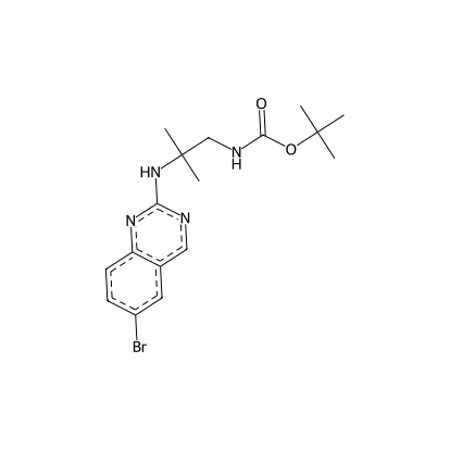 CC(C)(CNC(=O)OC(C)(C)C)Nc1ncc2cc(Br)ccc2n1